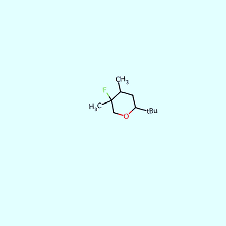 CC1CC(C(C)(C)C)OCC1(C)F